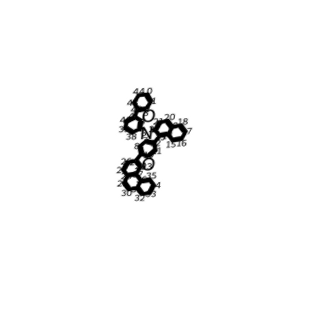 C1=Cc2oc3c(-n4c5cc6c(cc5c5c7ccccc7ccc54)oc4c6ccc5ccc6ccccc6c54)cccc3c2CC1